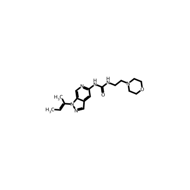 C/C=C(\C)n1ncc2cc(NC(=O)NCCN3CCOCC3)ncc21